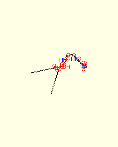 CCCCCCCCCCCCCCCCCC(=O)OCC(COP(=O)(O)OCCNC(=O)CC(C)(C)OCCC(C)(C)OCCNC(=O)CCCC(=O)ON1C(=O)CCC1=O)OC(=O)CCCCCCCCCCCCCCCCC